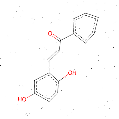 O=C(/C=C/c1cc(O)ccc1O)c1ccccc1